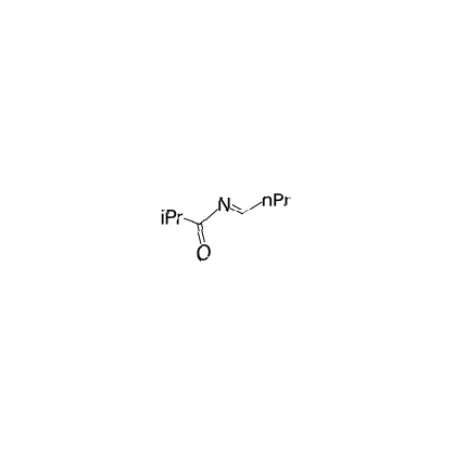 CCCC=NC(=O)C(C)C